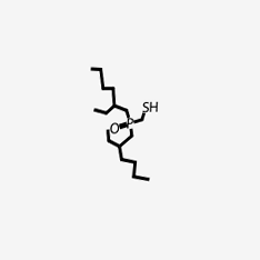 CCCCC(CC)CP(=O)(CS)CC(CC)CCCC